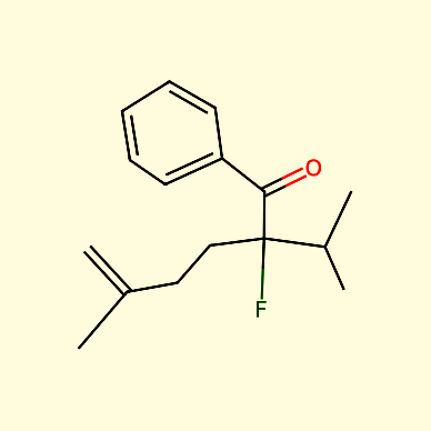 C=C(C)CCC(F)(C(=O)c1ccccc1)C(C)C